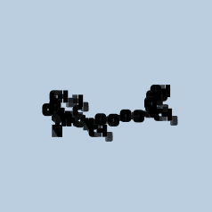 CCOC(=O)c1cc(C#N)c(/N=N/c2ccc(N(CC)CCOCCOCCOCCOCC[N+](CC)(CC)CCCS(=O)(=O)O)cc2C)s1